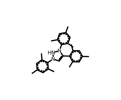 Cc1cc(C)c(C2=CN(c3c(C)cc(C)cc3C)NN2c2c(C)cc(C)cc2C)c(C)c1